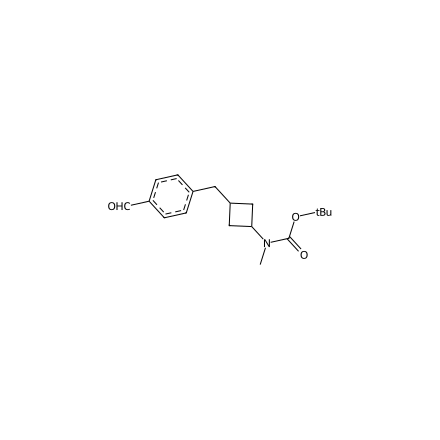 CN(C(=O)OC(C)(C)C)C1CC(Cc2ccc(C=O)cc2)C1